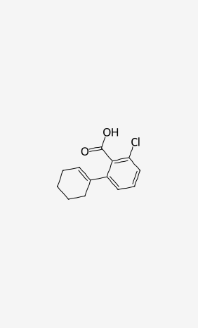 O=C(O)c1c(Cl)cccc1C1=CCCCC1